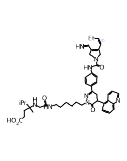 CC/C=C\C1=C(C=N)CN(C(=O)Nc2ccc(C3=NN(CCCCCCNC(=O)CNC(C)(CCC(=O)O)C(C)C)C(=O)C(c4cccc5ncccc45)C3)cc2)C1